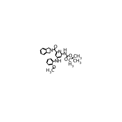 COc1ccccc1Nc1cc(NC(=O)OC(C)(C)C)nc(C(=O)N2Cc3ccccc3C2)c1